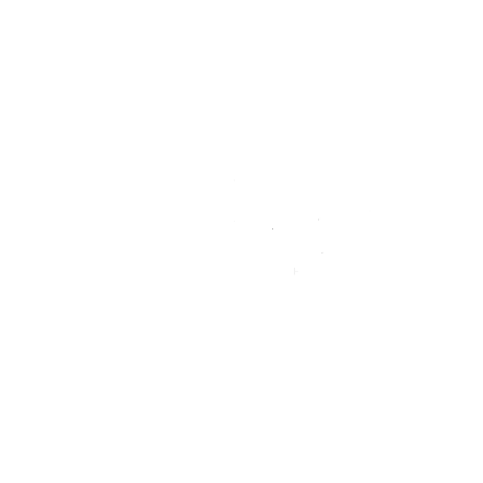 C[C@@H](OC(=O)C(=O)OCc1ccccc1)[C@@H](O)CO